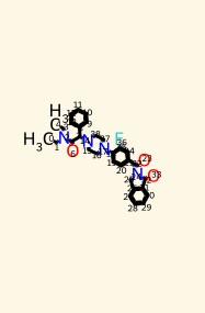 CCN(CC)C(=O)C(c1ccccc1)N1CCN(c2ccc(C(=O)N3Cc4ccccc4C3=O)cc2F)CC1